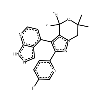 [2H]C1([2H])OC(C)(C)Cn2nc(-c3ccc(F)cn3)c(-c3ccnc4[nH]ncc34)c21